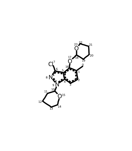 Cc1ccc2c(c(Cl)nn2C2CCCCO2)c1OC1CCCCO1